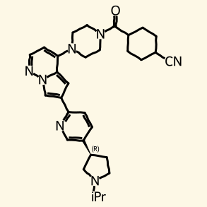 CC(C)N1CC[C@H](c2ccc(-c3cc4c(N5CCN(C(=O)C6CCC(C#N)CC6)CC5)ccnn4c3)nc2)C1